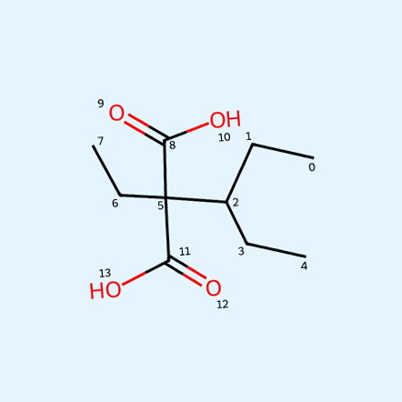 CCC(CC)C(CC)(C(=O)O)C(=O)O